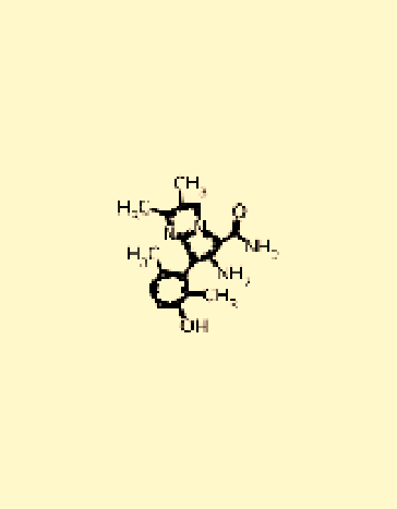 Cc1cn2c(C(N)=O)c(N)c(-c3c(C)ccc(O)c3C)c2nc1C